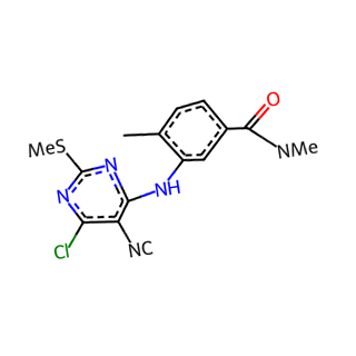 [C-]#[N+]c1c(Cl)nc(SC)nc1Nc1cc(C(=O)NC)ccc1C